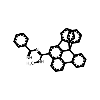 CN/C(=N\C(=N)c1ccccc1)c1cc2c3c4c(cccc14)-c1ccccc1C3(c1ccccc1)c1ccccc1-2